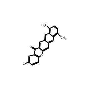 Cc1ccc(C)c2cc3cc4c(=O)c5cc(Cl)ccc5sc4cc3cc12